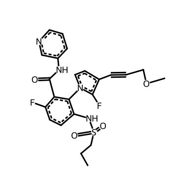 CCCS(=O)(=O)Nc1ccc(F)c(C(=O)Nc2cccnc2)c1-n1ccc(C#CCOC)c1F